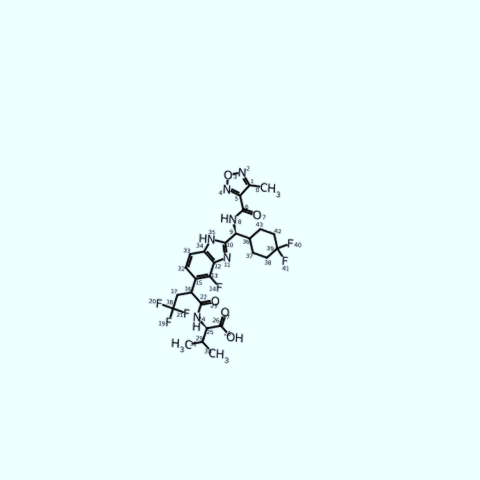 Cc1nonc1C(=O)N[C@H](c1nc2c(F)c(C(CC(F)(F)F)C(=O)N[C@@H](C(=O)O)C(C)C)ccc2[nH]1)C1CCC(F)(F)CC1